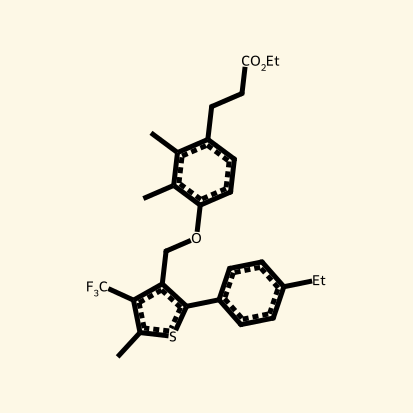 CCOC(=O)CCc1ccc(OCc2c(-c3ccc(CC)cc3)sc(C)c2C(F)(F)F)c(C)c1C